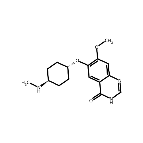 CN[C@H]1CC[C@H](Oc2cc3c(=O)[nH]cnc3cc2OC)CC1